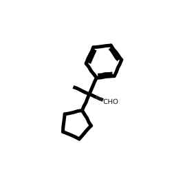 CC(C=O)(c1ccccc1)C1CCCC1